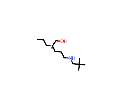 CCC[C@@H](CO)CCCNCC(C)(C)C